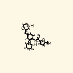 O=C(Nc1ccc(CC2CNCCO2)cc1N1CCCCC1)c1ccc(Br)o1